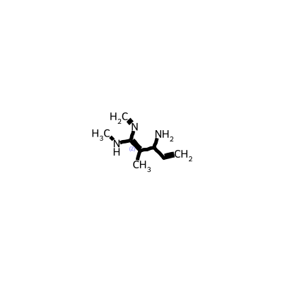 C=CC(N)/C(C)=C(\N=C)NC